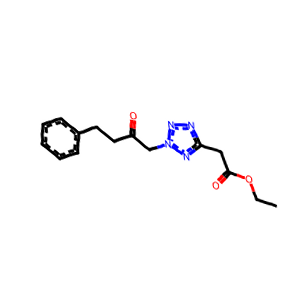 CCOC(=O)Cc1nnn(CC(=O)CCc2ccccc2)n1